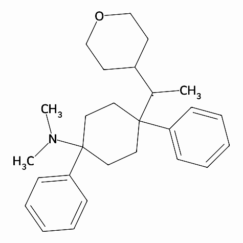 C[C](C1CCOCC1)C1(c2ccccc2)CCC(c2ccccc2)(N(C)C)CC1